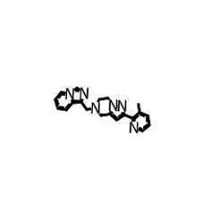 Cc1cccnc1-c1cc2n(n1)CCN(Cc1ncn3ccccc13)C2